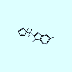 Cc1ccc2c(c1)C=[C]([Zr]([CH3])([CH3])[C]1(C)C=CC=C1)C2C